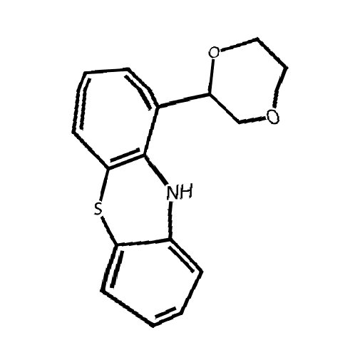 c1ccc2c(c1)Nc1c(cccc1C1COCCO1)S2